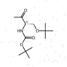 CC(=O)[C@H](COC(C)(C)C)NC(=O)OC(C)(C)C